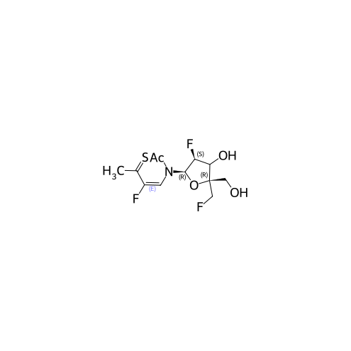 CC(=O)N(/C=C(/F)C(C)=S)[C@@H]1O[C@@](CO)(CF)C(O)[C@@H]1F